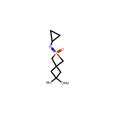 COC1(C(C)(C)C)CC2(C1)CS(=O)(=NC1CC1)C2